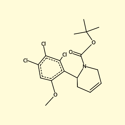 COc1cc(Cl)c(Cl)c(Cl)c1C1CC=CCN1C(=O)OC(C)(C)C